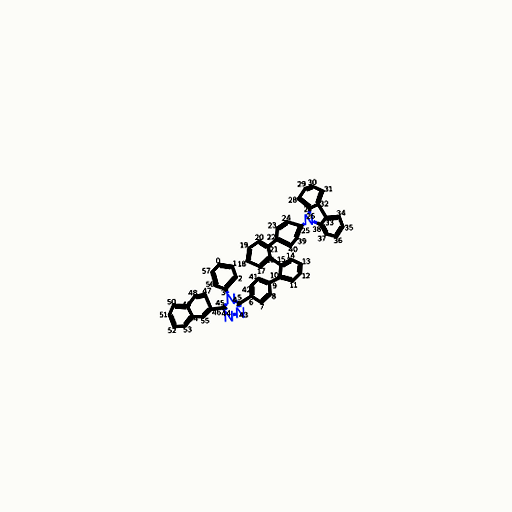 c1ccc(-n2c(-c3ccc(-c4ccccc4-c4ccccc4-c4ccc(-n5c6ccccc6c6ccccc65)cc4)cc3)nnc2-c2ccc3ccccc3c2)cc1